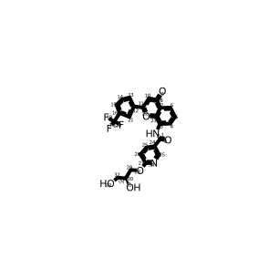 O=C(Nc1cccc2c(=O)cc(-c3cccc(C(F)(F)F)c3)oc12)c1ccc(OC[C@@H](O)CO)nc1